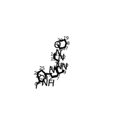 IC1NCC2(c3ccc4cnn(-c5ccn(C6CCCCO6)n5)c4n3)CCC1O2